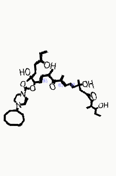 CCC(O)CCC(C)(O)C(/C=C/C(C)C(=O)/C(C)=C/C=C/C(C)(O)CC1OC1C(C)C(O)CC)OC(=O)N1CCN(C2CCCCCCC2)CC1